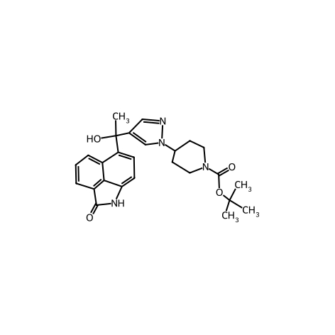 CC(C)(C)OC(=O)N1CCC(n2cc(C(C)(O)c3ccc4c5c(cccc35)C(=O)N4)cn2)CC1